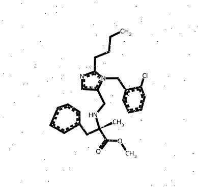 CCCCc1ncc(CN[C@@](C)(Cc2ccccc2)C(=O)OC)n1Cc1ccccc1Cl